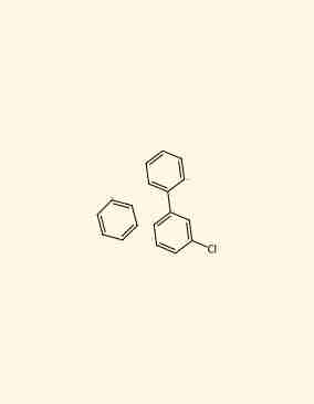 Clc1cccc(-c2[c]cccc2)c1.[c]1ccccc1